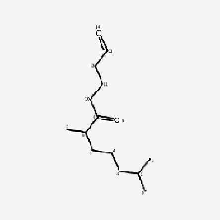 CC(C)CCCC(C)C(=O)CCCC=O